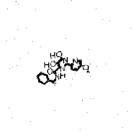 COc1ccc(-c2nc(O)c(O)c(C(=O)N[C@H](C)C3CCCCC3)n2)nc1